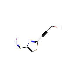 OCC#Cc1nc(/C=N\O)cs1